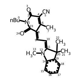 CCCCN1C(=O)C(C#N)=C(C)/C(=C\C=C2/N(C)c3ccccc3C2(C)C)C1=O